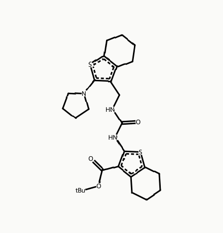 CC(C)(C)OC(=O)c1c(NC(=O)NCc2c(N3CCCC3)sc3c2CCCC3)sc2c1CCCC2